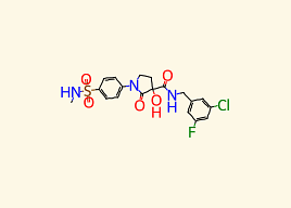 CNS(=O)(=O)c1ccc(N2CCC(O)(C(=O)NCc3cc(F)cc(Cl)c3)C2=O)cc1